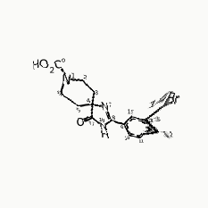 O=C(O)N1CCC2(CC1)N=C(c1cccc(Br)c1)NC2=O